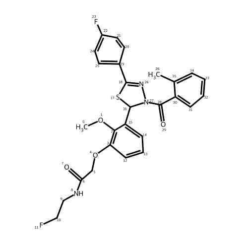 COc1c(OCC(=O)NCCF)cccc1C1SC(c2ccc(F)cc2)=NN1C(=O)c1ccccc1C